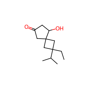 CCC1(C(C)C)CC2(CC(=O)CC2O)C1